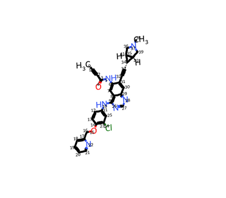 CC#CC(=O)Nc1cc2c(Nc3ccc(OCc4ccccn4)c(Cl)c3)ncnc2cc1C#C[C@@H]1[C@H]2CN(C)C[C@@H]12